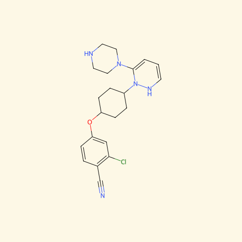 N#Cc1ccc(OC2CCC(N3NC=CC=C3N3CCNCC3)CC2)cc1Cl